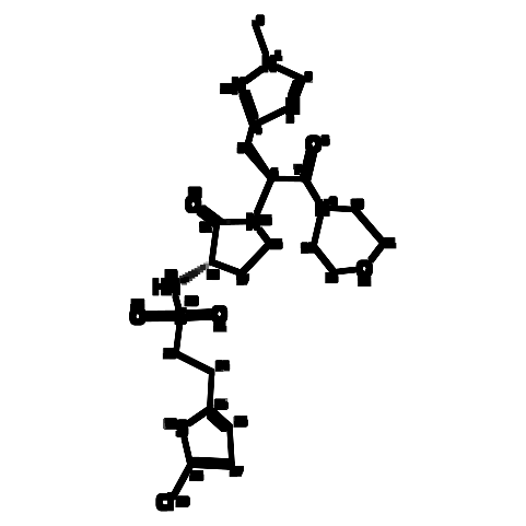 Cn1cnc(C[C@@H](C(=O)N2CCOCC2)N2CC[C@H](NS(=O)(=O)CCc3ccc(Cl)s3)C2=O)n1